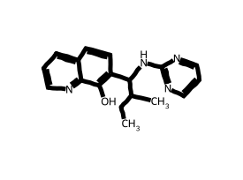 CCC(C)C(Nc1ncccn1)c1ccc2cccnc2c1O